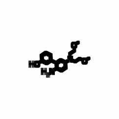 COCCN(CCOC)c1ccc(N)c(-c2cccc(O)c2)c1